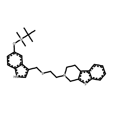 CC(C)(C)[Si](C)(C)Oc1ccc2[nH]cc(CSCCN3CCc4c(sc5ccccc45)C3)c2c1